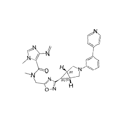 C=Nc1ncn(C)c1C(=O)N(C)Cc1nc([C@H]2[C@@H]3CN(c4cccc(-c5ccncc5)c4)C[C@@H]32)no1